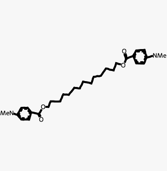 CNc1ccc(C(=O)OCCCCCCCCCCCCCCOC(=O)c2ccc(NC)cc2)cc1